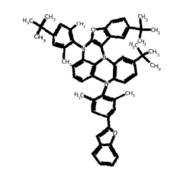 Cc1cc(-c2cc3ccccc3o2)cc(C)c1N1c2ccc(C(C)(C)C)cc2B2c3c1cccc3N(c1c(C)cc(C(C)(C)C)cc1C)c1oc3ccc(C(C)(C)C)cc3c12